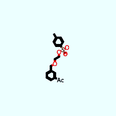 CC(=O)c1cccc(COCCOS(=O)(=O)c2ccc(C)cc2)c1